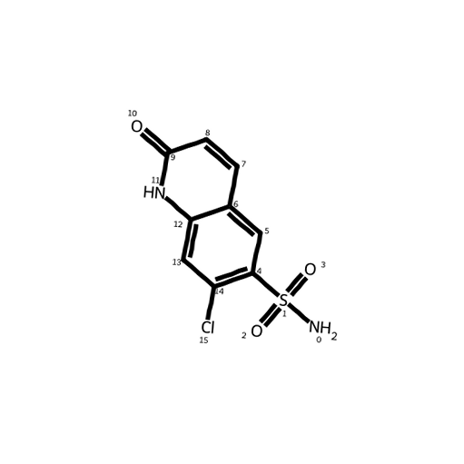 NS(=O)(=O)c1cc2ccc(=O)[nH]c2cc1Cl